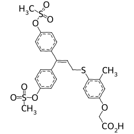 Cc1cc(OCC(=O)O)ccc1SCC=C(c1ccc(OS(C)(=O)=O)cc1)c1ccc(OS(C)(=O)=O)cc1